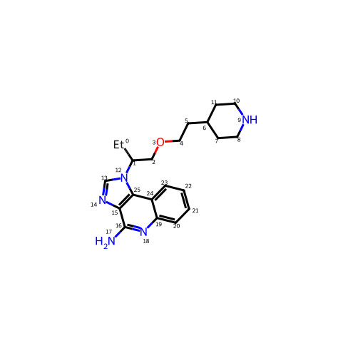 CCC(COCCC1CCNCC1)n1cnc2c(N)nc3ccccc3c21